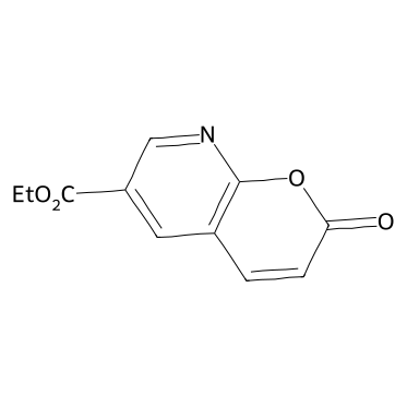 CCOC(=O)c1cnc2oc(=O)ccc2c1